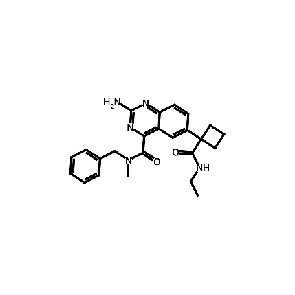 CCNC(=O)C1(c2ccc3nc(N)nc(C(=O)N(C)Cc4ccccc4)c3c2)CCC1